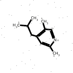 Cc1cc(CC(C)C)c(C)cn1